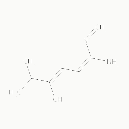 C=N/C(N)=C\C=C(/C)C(C)C